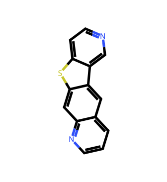 c1cnc2cc3sc4ccncc4c3cc2c1